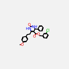 COc1ccc(CCC2=C(C(=O)OCc3cccc(Cl)c3)C(c3ccccc3)NC(=O)N2)cc1